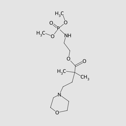 COP(=O)(NCCOC(=O)C(C)(C)CCN1CCOCC1)OC